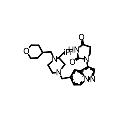 CC(C)C1CN(Cc2ccn3ncc(N4CCC(=O)NC4=O)c3c2)CCN1CC1CCOCC1